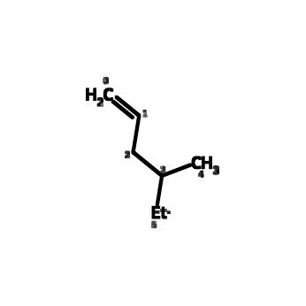 C=CCC(C)[CH]C